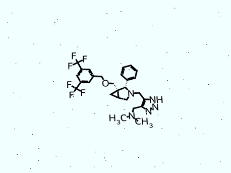 CN(C)Cc1nn[nH]c1CN1CC2C[C@@]2(COCc2cc(C(F)(F)F)cc(C(F)(F)F)c2)[C@@H]1c1ccccc1